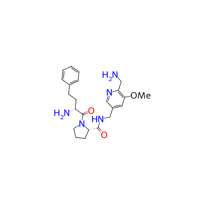 COc1cc(CNC(=O)[C@@H]2CCCN2C(=O)[C@H](N)CCc2ccccc2)cnc1CN